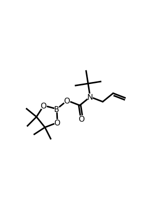 C=CCN(C(=O)OB1OC(C)(C)C(C)(C)O1)C(C)(C)C